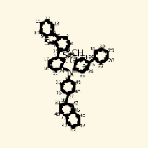 C[Si]1(C)c2ccc3c(sc4ccccc43)c2-c2cccc(N(c3ccc(-c4ccccc4)cc3)c3ccc(-c4ccc5ccccc5c4)cc3)c21